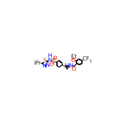 CCOc1cc(C(F)(F)F)ccc1C(=O)N[C@@H]1C[C@H]1C1C=CC(S(=O)(=O)Nc2nnc(C(C)C)s2)=CC1